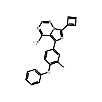 Nc1ncnn2c(C3=CC=C3)nc(-c3ccc(Oc4ccccc4)c(F)c3)c12